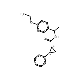 CC(NC(=O)[C@@H]1C[C@H]1c1ccccc1)c1ccc(OCC(F)(F)F)nc1